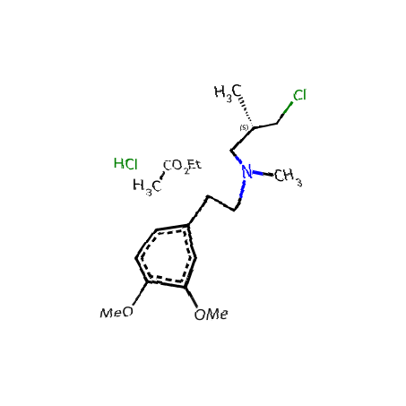 CCOC(C)=O.COc1ccc(CCN(C)C[C@H](C)CCl)cc1OC.Cl